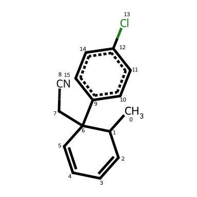 CC1C=CC=CC1(CC#N)c1ccc(Cl)cc1